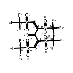 O=C(/C(=C\S(=O)(=O)C(F)(F)F)S(=O)(=O)C(F)(F)F)/C(=C\S(=O)(=O)C(F)(F)F)S(=O)(=O)C(F)(F)F